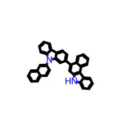 c1ccc2cc(-n3c4ccccc4c4ccc(-c5cc6[nH]c7ccccc7c6c6ccccc56)cc43)ccc2c1